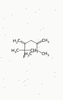 C=C(CC(=C)C(C)(C)F)C(C)C